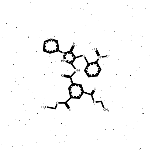 CCOC(=O)c1cc(C(=O)Nc2[nH]n(-c3ccccc3)c(=O)c2Sc2ccccc2[N+](=O)[O-])cc(C(=O)OCC)c1